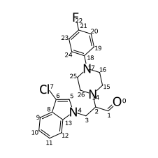 O=CC(Cn1cc(Cl)c2ccccc21)N1CCN(c2ccc(F)cc2)CC1